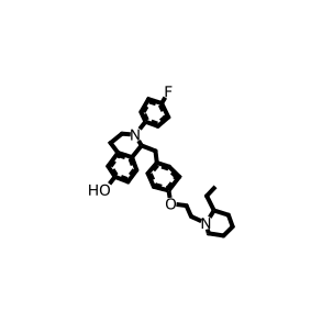 CCC1CCCCN1CCOc1ccc(CC2c3ccc(O)cc3CCN2c2ccc(F)cc2)cc1